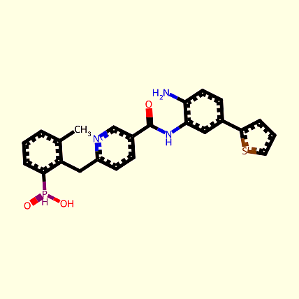 Cc1cccc([PH](=O)O)c1Cc1ccc(C(=O)Nc2cc(-c3cccs3)ccc2N)cn1